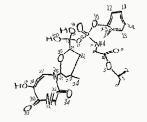 CC(C)OC(=O)CNP(=O)(Oc1ccccc1)OC(O)(O)C1CC(C)C(n2cc(O)c(=O)[nH]c2=O)O1